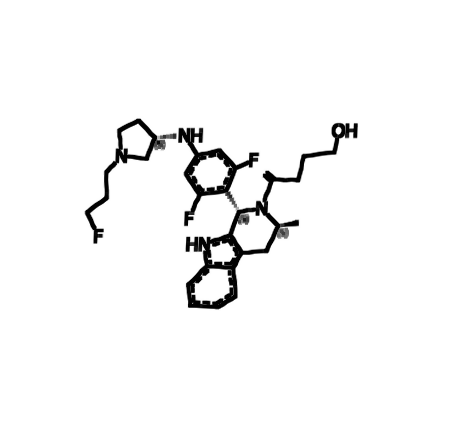 C=C(CCCO)N1[C@@H](c2c(F)cc(N[C@H]3CCN(CCCF)C3)cc2F)c2[nH]c3ccccc3c2C[C@@H]1C